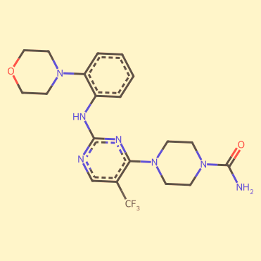 NC(=O)N1CCN(c2nc(Nc3ccccc3N3CCOCC3)ncc2C(F)(F)F)CC1